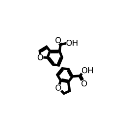 O=C(O)c1cccc2c1CCO2.O=C(O)c1cccc2occc12